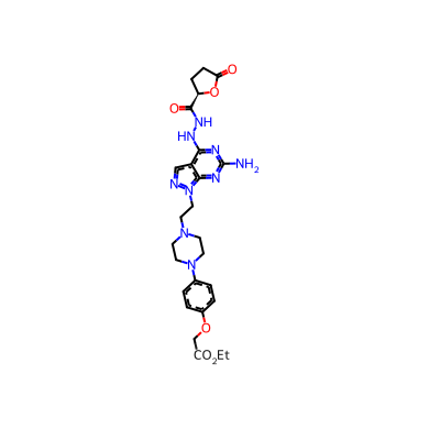 CCOC(=O)COc1ccc(N2CCN(CCn3ncc4c(NNC(=O)[C@H]5CCC(=O)O5)nc(N)nc43)CC2)cc1